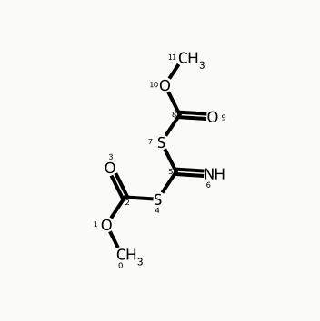 COC(=O)SC(=N)SC(=O)OC